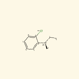 CC[C@@H](C)c1ccccc1Cl